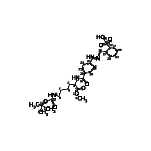 COC(=O)C(CCCCNC(=O)OC(C)(C)C)NC(=O)c1ccc(NN=Cc2ccccc2S(=O)(=O)O)nc1